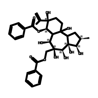 C=C(C)[C@]1(O)CCC2(O)C([C@H]1OC(=O)c1ccccc1)[C@H](O)[C@@](O)(COC(=O)c1ccccc1)[C@@H](O)[C@@]1(O)C2C[C@H](C)[C@@H]1O